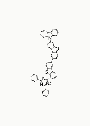 C[n+]1c(-c2ccccc2)nc(-c2ccccc2)nc1-c1cccc2c1sc1ccc(-c3ccc4oc5cc(N6c7ccccc7C7C=CC=CC76)ccc5c4c3)cc12